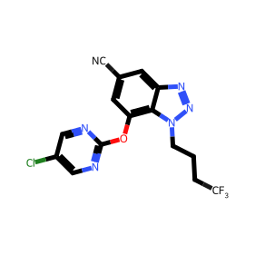 N#Cc1cc(Oc2ncc(Cl)cn2)c2c(c1)nnn2CCCC(F)(F)F